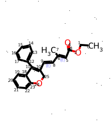 CCOC(=O)/C=C(C)/C=C/C1=C(c2ccccc2)c2ccccc2OC1